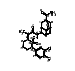 CC(C(=O)NC1C2CC3CC1CC(C(N)=O)(C3)C2)N1CCCN(c2ccc(Cl)c(Cl)c2)S1(=O)=O